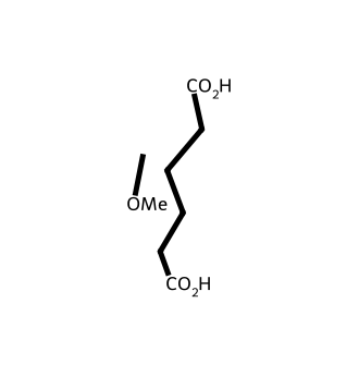 COC.O=C(O)CCCCC(=O)O